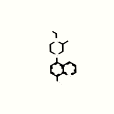 CC1CN(c2ccc(C#N)c3ncccc23)CCN1CC(=O)O